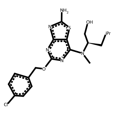 CC(C)C[C@H](CO)N(C)c1nc(OCc2ccc(Cl)cc2)nc2nc(N)sc12